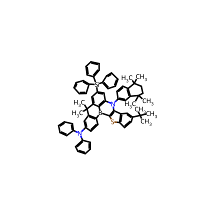 CC(C)(C)c1ccc2sc3c(c2c1)N(c1ccc2c(c1)C(C)(C)CCC2(C)C)c1cc([Si](c2ccccc2)(c2ccccc2)c2ccccc2)cc2c1B3c1ccc(N(c3ccccc3)c3ccccc3)cc1C2(C)C